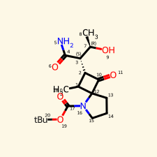 CC1C([C@H](C(N)=O)[C@@H](C)O)C(=O)C12CCCN2C(=O)OC(C)(C)C